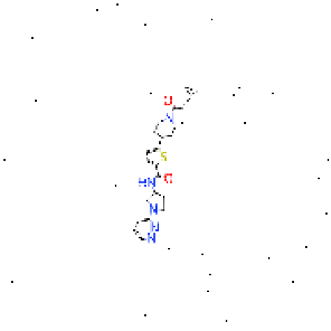 O=C(N[C@H]1CCN(c2cccnn2)C1)c1ccc(C2CCN(C(=O)CC3CC3)CC2)s1